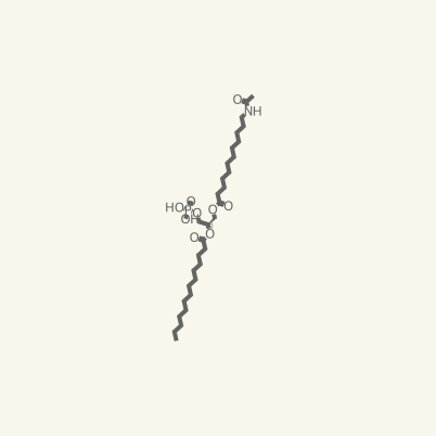 CCCCCCCCCCCCCC(=O)O[C@H](COC(=O)CCCCCCCCCCCNC(C)=O)COP(=O)(O)O